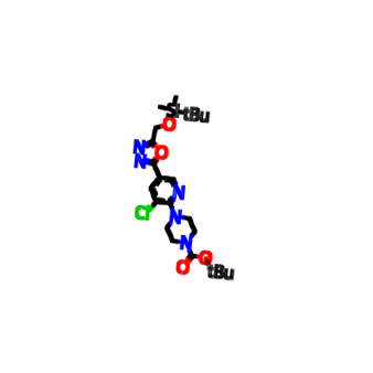 CC(C)(C)OC(=O)N1CCN(c2ncc(-c3nnc(CO[Si](C)(C)C(C)(C)C)o3)cc2Cl)CC1